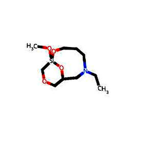 CCN1CCCO[Si]2(OC)COCC(C1)O2